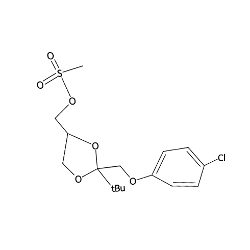 CC(C)(C)C1(COc2ccc(Cl)cc2)OCC(COS(C)(=O)=O)O1